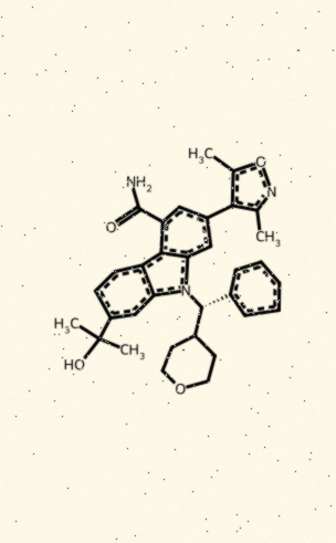 Cc1noc(C)c1-c1cc(C(N)=O)c2c3ccc(C(C)(C)O)cc3n([C@H](c3ccccc3)C3CCOCC3)c2c1